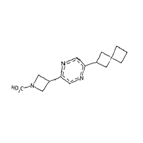 O=C(O)N1CC(c2cnc(C3CC4(CCC4)C3)cn2)C1